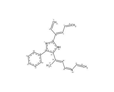 C=C/C=C(\C=C)c1nc(-c2ccccc2)c(/C(C)=C/C=N\C=C)[nH]1